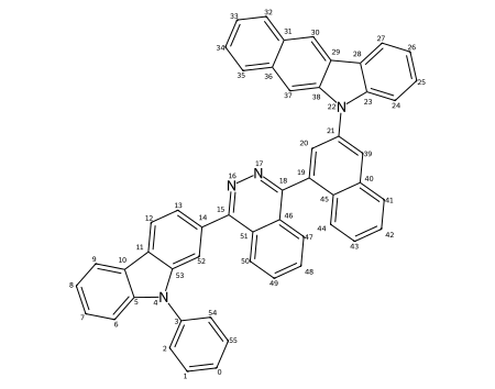 c1ccc(-n2c3ccccc3c3ccc(-c4nnc(-c5cc(-n6c7ccccc7c7cc8ccccc8cc76)cc6ccccc56)c5ccccc45)cc32)cc1